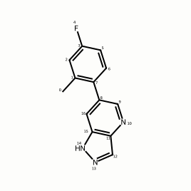 Cc1cc(F)ccc1-c1cnc2cn[nH]c2c1